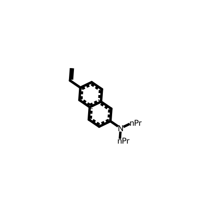 C=Cc1ccc2cc(N(CCC)CCC)ccc2c1